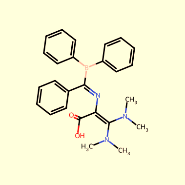 CN(C)C(=C(N=C(B(c1ccccc1)c1ccccc1)c1ccccc1)C(=O)O)N(C)C